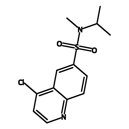 CC(C)N(C)S(=O)(=O)c1ccc2nccc(Cl)c2c1